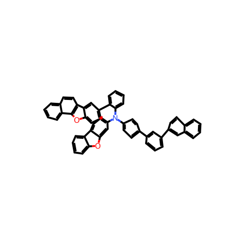 c1cc(-c2ccc(N(c3ccc4c(c3)oc3ccccc34)c3ccccc3-c3ccc4oc5c6ccccc6ccc5c4c3)cc2)cc(-c2ccc3ccccc3c2)c1